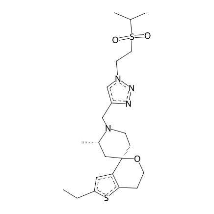 CCc1cc2c(s1)CCO[C@@]21CCN(Cc2cn(CCS(=O)(=O)C(C)C)nn2)[C@@H](C)C1